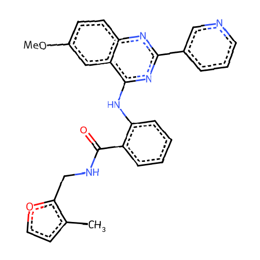 COc1ccc2nc(-c3cccnc3)nc(Nc3ccccc3C(=O)NCc3occc3C)c2c1